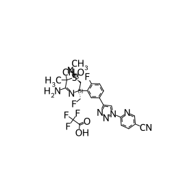 CN=[S@@]1(=O)C[C@@](CF)(c2cc(-c3cn(-c4ccc(C#N)cn4)nn3)ccc2F)N=C(N)C1(C)C.O=C(O)C(F)(F)F